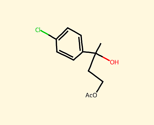 CC(=O)OCCC(C)(O)c1ccc(Cl)cc1